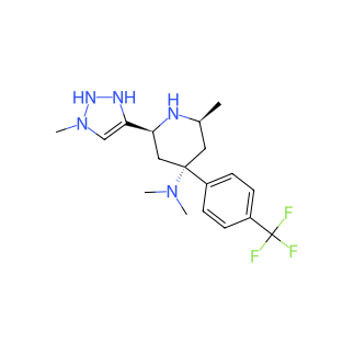 C[C@H]1C[C@](c2ccc(C(F)(F)F)cc2)(N(C)C)C[C@@H](C2=CN(C)NN2)N1